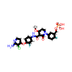 CCOc1ccn(-c2ccc(F)c(COP(=O)(O)O)c2)c(=O)c1C(=O)Nc1ccc(Oc2ccnc(N)c2Cl)c(F)c1